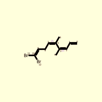 C=C/C=C(C)\C(C)=C/CC=C(Br)Br